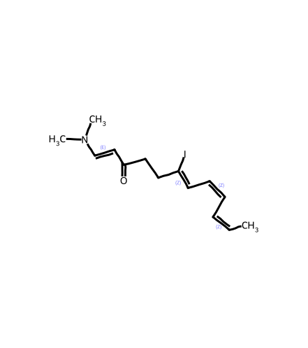 C\C=C/C=C\C=C(/I)CCC(=O)/C=C/N(C)C